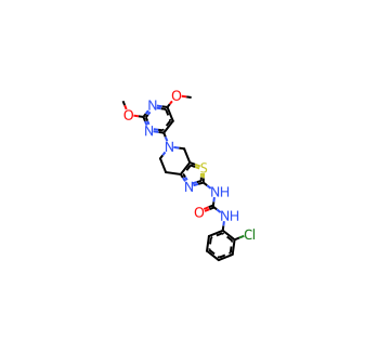 COc1cc(N2CCc3nc(NC(=O)Nc4ccccc4Cl)sc3C2)nc(OC)n1